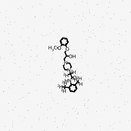 [2H]C([2H])([2H])c1cccc(C([2H])([2H])[2H])c1NC(=O)C([2H])([2H])N1CCN(CC(O)COc2ccccc2OC)CC1